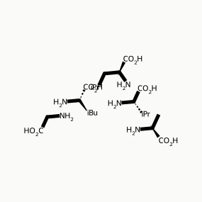 CC(C)C[C@H](N)C(=O)O.CC(C)[C@H](N)C(=O)O.CC[C@H](C)[C@H](N)C(=O)O.C[C@H](N)C(=O)O.NCC(=O)O